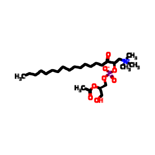 CCCCCCCCCCCCCCCC(=O)C(C[N+](C)(C)C)OP(=O)([O-])OC[C@@H](CO)OC(C)=O